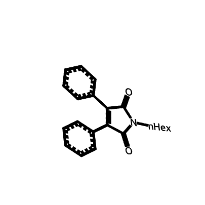 CCCCCCN1C(=O)C(c2ccccc2)=C(c2ccccc2)C1=O